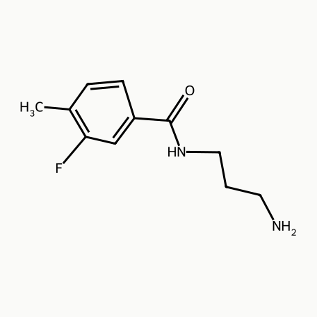 Cc1ccc(C(=O)NCCCN)cc1F